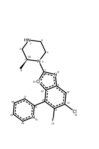 C[C@H]1CNCCN1c1nc2cc(Cl)c(F)c(-c3ccccn3)c2o1